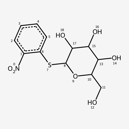 O=[N+]([O-])c1ccccc1SC1OC(CO)C(O)C(O)C1O